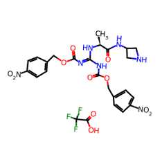 C[C@H](N/C(=N\C(=O)OCc1ccc([N+](=O)[O-])cc1)NC(=O)OCc1ccc([N+](=O)[O-])cc1)C(=O)NC1CNC1.O=C(O)C(F)(F)F